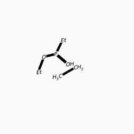 CC.CCOP(O)CC